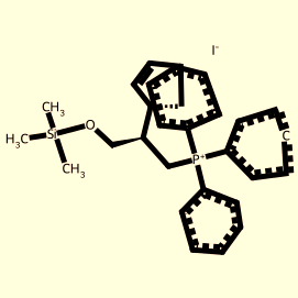 C[Si](C)(C)OC[C@H](C[P+](c1ccccc1)(c1ccccc1)c1ccccc1)[C@@H]1C=CCC1.[I-]